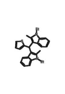 CCn1c(C)c(C(c2cccs2)c2c(C)n(CC)c3ccccc23)c2ccccc21